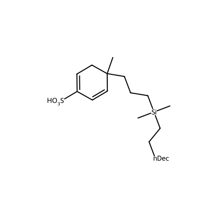 CCCCCCCCCCCC[Si](C)(C)CCCC1(C)C=CC(S(=O)(=O)O)=CC1